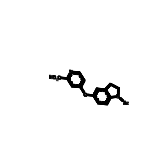 CC(=O)N1CCc2cc(Oc3ccnc(C(=O)O)c3)ccc21